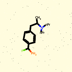 CCCN(CCC)C(C)Cc1ccc(C(F)P)cc1